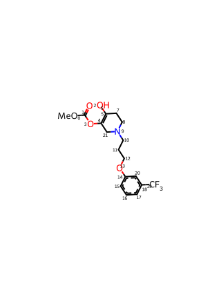 COC(=O)OC1=C(O)CCN(CCCOc2cccc(C(F)(F)F)c2)C1